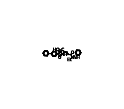 CCN(Nc1ccccc1)C(=O)CCC(NS(=O)(=O)c1ccc(-c2ccccc2)cc1)C(=O)O